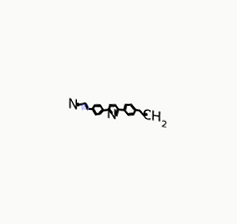 C=CCc1ccc(-c2ccc(-c3ccc(/C=C/C#N)cc3)nc2)cc1